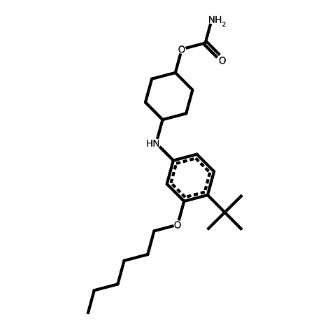 CCCCCCOc1cc(NC2CCC(OC(N)=O)CC2)ccc1C(C)(C)C